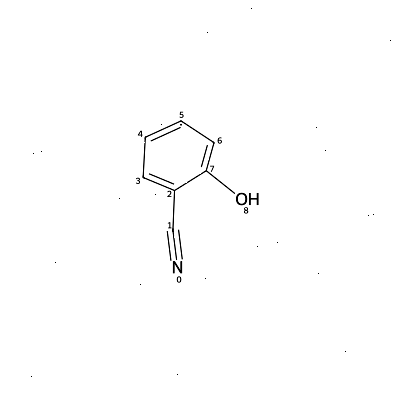 N#Cc1cc[c]cc1O